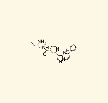 CCC(N)CNC(=O)c1ccnc(-c2cnn3ccc([SH]4C=CC=C4)nc23)c1